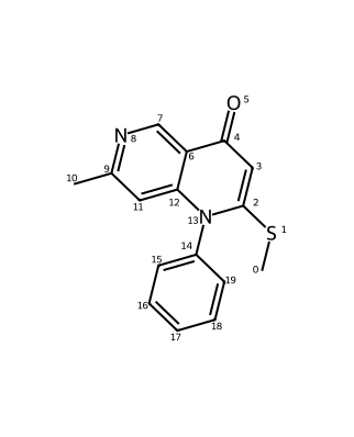 CSc1cc(=O)c2cnc(C)cc2n1-c1ccccc1